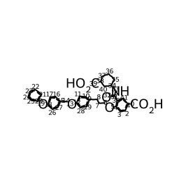 O=C(O)c1ccc(OCCCc2ccc(OCc3ccc(Oc4ccccc4)cc3)cc2)c(C(=O)NC2CCCC(C(=O)O)C2)c1